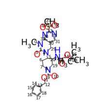 CN1C(=O)N(C2CCN(C(=O)OCc3ccccc3)CC2NC(=O)OC(C)(C)C)Cc2cnc(S(C)(=O)=O)nc21